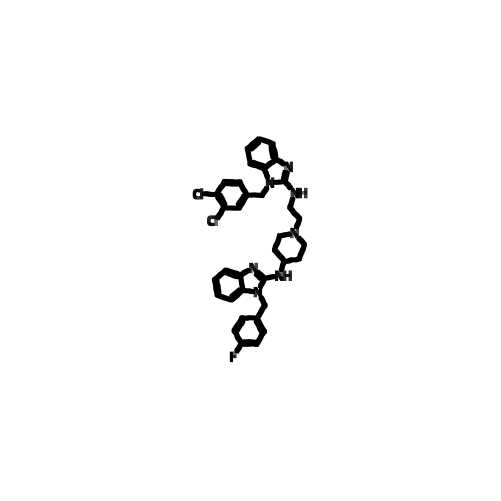 Fc1ccc(Cn2c(NC3CCN(CCNc4nc5ccccc5n4Cc4ccc(Cl)c(Cl)c4)CC3)nc3ccccc32)cc1